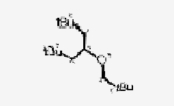 CC(C)(C)COC(CC(C)(C)C)CC(C)(C)C